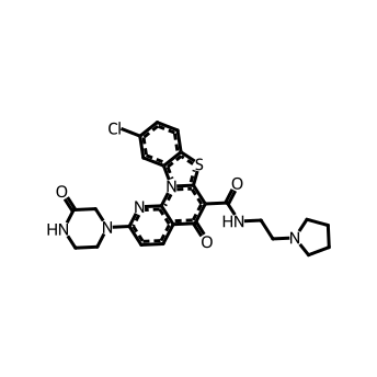 O=C1CN(c2ccc3c(=O)c(C(=O)NCCN4CCCC4)c4sc5ccc(Cl)cc5n4c3n2)CCN1